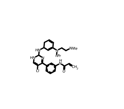 C=CC(=O)Nc1cccc(C2=NC(NC3C=C(N(CCC)CCNC)C=CC3)NC=C2Cl)c1